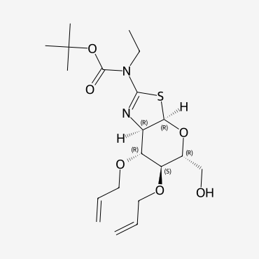 C=CCO[C@@H]1[C@H]2N=C(N(CC)C(=O)OC(C)(C)C)S[C@H]2O[C@H](CO)[C@H]1OCC=C